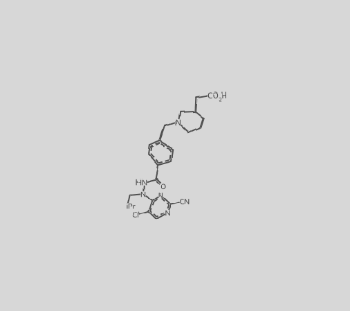 CC(C)CN(NC(=O)c1ccc(CN2CCCC(CC(=O)O)C2)cc1)c1nc(C#N)ncc1Cl